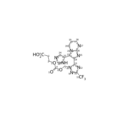 O=C(O)CCOC(=O)OCn1nc(C(F)(F)F)nc1-c1nc2ncccn2c1-c1cnc[nH]1